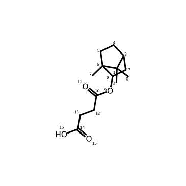 CC1(C)C2CCC1(C)C(OC(=O)CCC(=O)O)C2